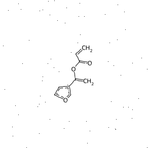 C=CC(=O)OC(=C)c1ccoc1